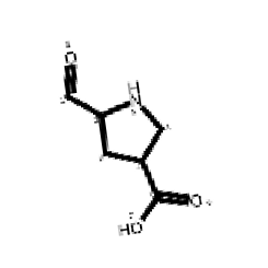 O=[C]C1CC(C(=O)O)CN1